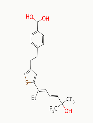 CCC(=CC=CC(O)(C(F)(F)F)C(F)(F)F)c1cc(CCc2ccc(C(O)O)cc2)cs1